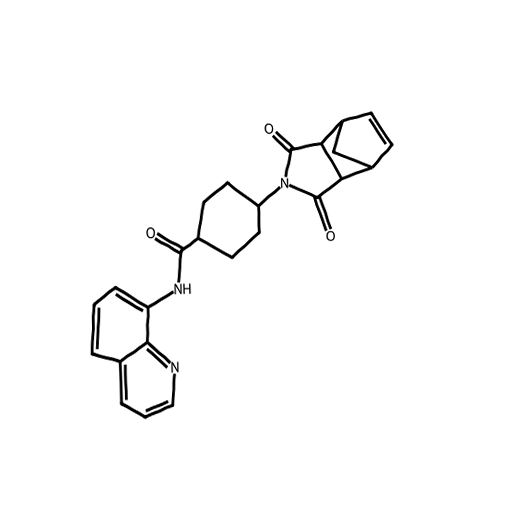 O=C(Nc1cccc2cccnc12)C1CCC(N2C(=O)C3C4C=CC(C4)C3C2=O)CC1